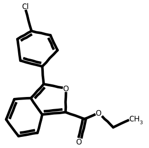 CCOC(=O)c1oc(-c2ccc(Cl)cc2)c2ccccc12